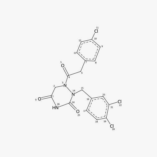 O=C1CN(C(=O)Cc2ccc(Cl)cc2)N(Cc2ccc(Cl)c(Cl)c2)C(=O)N1